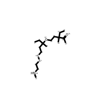 CCC(C)(CCSSCCNC)OCCC(C)(CC)C(C)=O